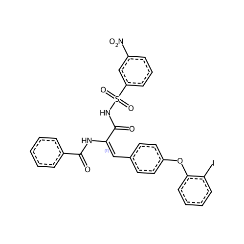 O=C(NS(=O)(=O)c1cccc([N+](=O)[O-])c1)/C(=C\c1ccc(Oc2ccccc2I)cc1)NC(=O)c1ccccc1